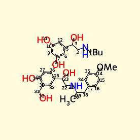 CC(C)(C)NCC(O)c1cc(O)cc(O)c1.COc1ccc(CC(C)NCC(O)c2ccc(O)c(CO)c2)cc1